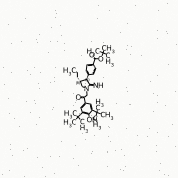 CCC[C@H]1CN(CC(=O)c2cc(C(C)(C)C)c(O)c(C(C)(C)C)c2)C(=N)[C@@H]1c1ccc(C(=O)OC(C)(C)C)cc1